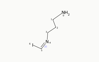 NCCC/N=C\I